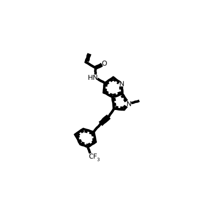 C=CC(=O)Nc1cnc2c(c1)c(C#Cc1cccc(C(F)(F)F)c1)cn2C